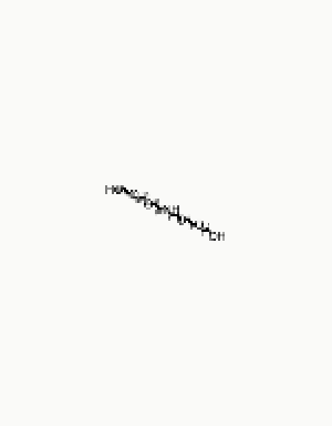 OCCOCCOCCNCCOCCOCCO